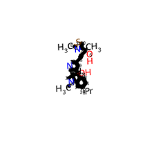 Cc1nc(C(C)(O)C#Cc2cncc([C@@](O)(c3ccc(C(C)C)cc3)C3(C)CN(C)C3)c2)cs1